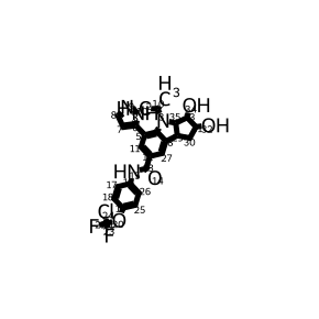 CC(C)N1c2c(-c3ccn[nH]3)cc(C(=O)Nc3ccc(OC(F)(F)Cl)cc3)cc2C2CC(O)C(O)C21